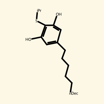 CCCCCCCCCCCCCCCc1cc(O)c(SC(C)C)c(O)c1